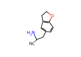 N#CC(N)Cc1ccc2c(c1)CCO2